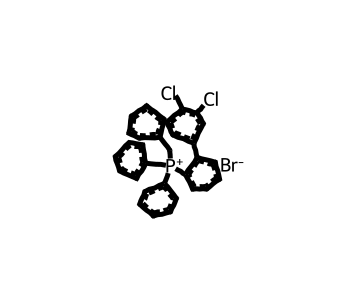 Clc1ccc(-c2ccccc2[P+](Cc2ccccc2)(c2ccccc2)c2ccccc2)cc1Cl.[Br-]